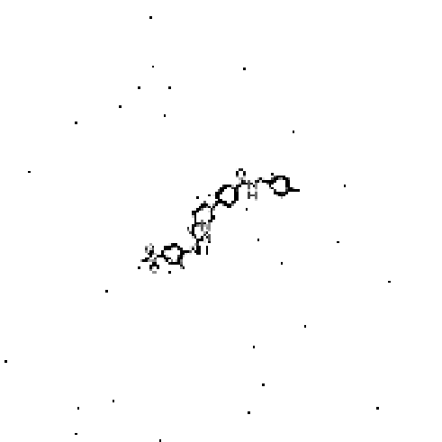 Cc1ccc(CNC(=O)c2ccc(-c3ccc4nc(Nc5ccc(S(C)(=O)=O)cc5C)nn4c3)cc2)cc1